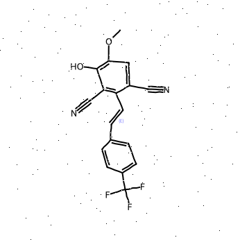 COc1cc(C#N)c(/C=C/c2ccc(C(F)(F)F)cc2)c(C#N)c1O